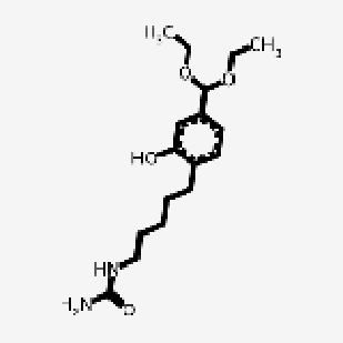 CCOC(OCC)c1ccc(CCCCCNC(N)=O)c(O)c1